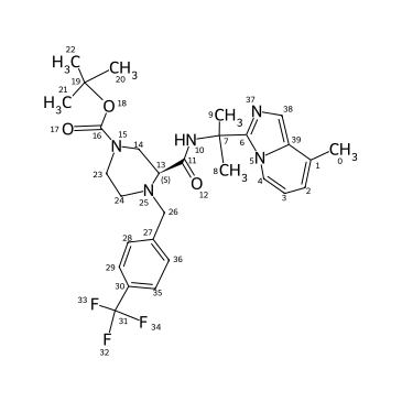 Cc1cccn2c(C(C)(C)NC(=O)[C@@H]3CN(C(=O)OC(C)(C)C)CCN3Cc3ccc(C(F)(F)F)cc3)ncc12